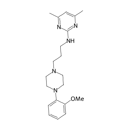 COc1ccccc1N1CCN(CCCNc2nc(C)cc(C)n2)CC1